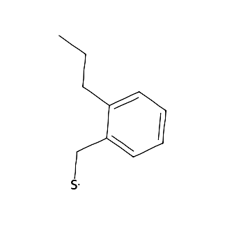 CCCc1ccccc1C[S]